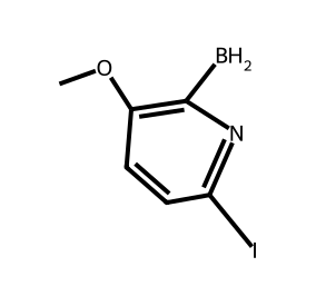 Bc1nc(I)ccc1OC